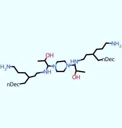 CCCCCCCCCCCC(CCCN)CCNC(C(C)O)N1CCN(C(NCCC(CCCN)CCCCCCCCCCC)C(C)O)CC1